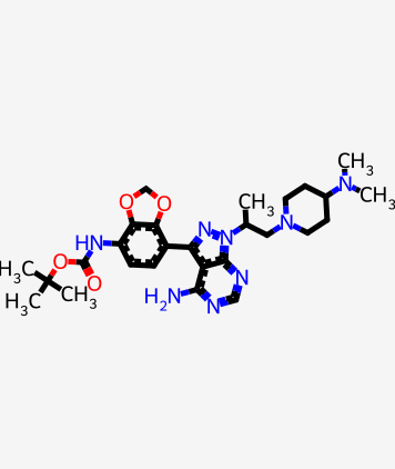 CC(CN1CCC(N(C)C)CC1)n1nc(-c2ccc(NC(=O)OC(C)(C)C)c3c2OCO3)c2c(N)ncnc21